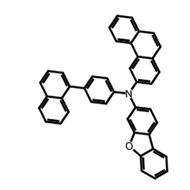 c1ccc2c(-c3ccc(N(c4ccc5c(c4)oc4ccccc45)c4ccc5ccc6ccccc6c5c4)cc3)cccc2c1